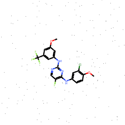 COc1cc(Nc2ncc(F)c(Nc3ccc(OC)c(Cl)c3)n2)cc(C(F)(F)F)c1